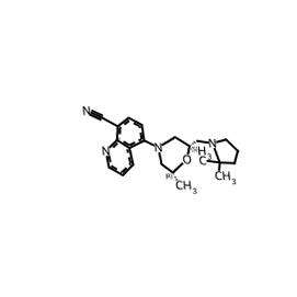 C[C@@H]1CN(c2ccc(C#N)c3ncccc23)C[C@H](CN2CCCC2(C)C)O1